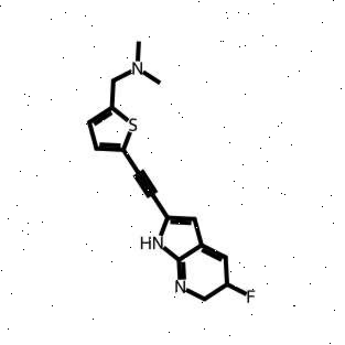 CN(C)Cc1ccc(C#Cc2cc3c([nH]2)=NCC(F)C=3)s1